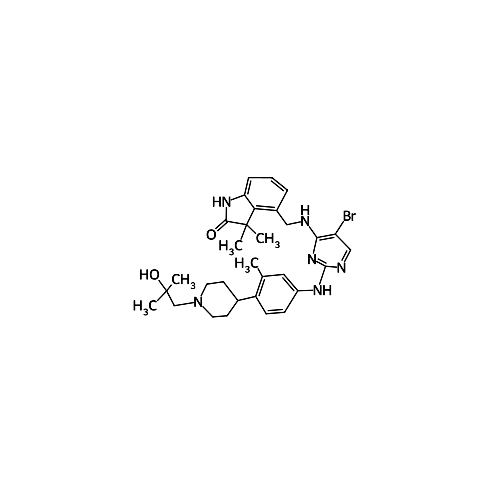 Cc1cc(Nc2ncc(Br)c(NCc3cccc4c3C(C)(C)C(=O)N4)n2)ccc1C1CCN(CC(C)(C)O)CC1